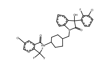 O=C(NC1CCC(CN2C(=O)C(O)(c3cccc(Cl)c3F)c3ccccc32)CC1)c1cc(Cl)cnc1C(F)(F)F